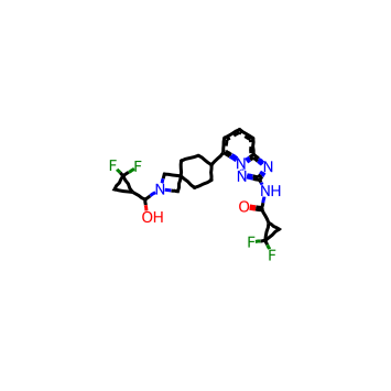 O=C(Nc1nc2cccc(C3CCC4(CC3)CN(C(O)C3CC3(F)F)C4)n2n1)C1CC1(F)F